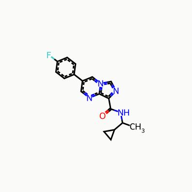 CC(NC(=O)c1ncn2cc(-c3ccc(F)cc3)cnc12)C1CC1